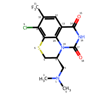 CN(C)C[C@H]1CSc2c(Cl)c(C(F)(F)F)cc3c(=O)[nH]c(=O)n1c23